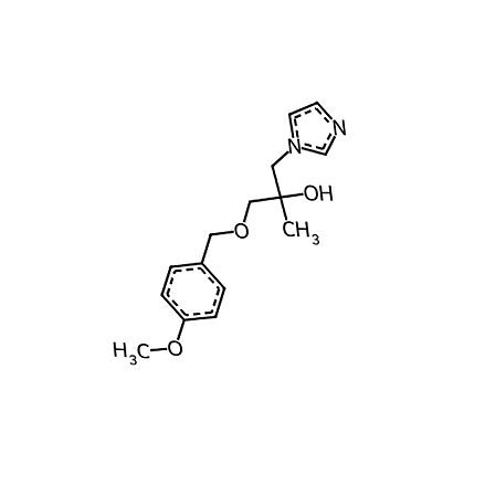 COc1ccc(COCC(C)(O)Cn2ccnc2)cc1